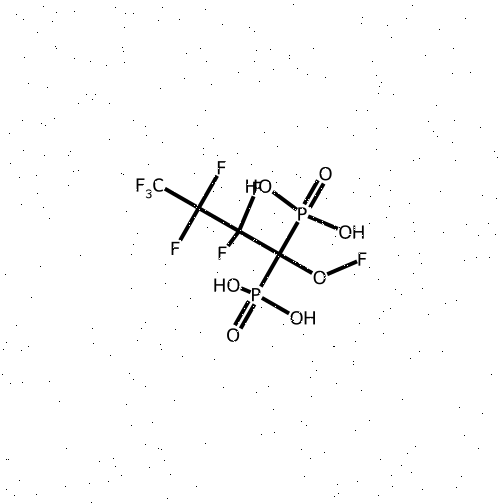 O=P(O)(O)C(OF)(C(F)(F)C(F)(F)C(F)(F)F)P(=O)(O)O